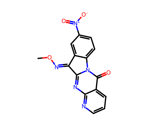 CON=C1c2cc([N+](=O)[O-])ccc2-n2c1nc1ncccc1c2=O